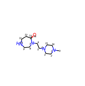 CN1CCN(CCN2CCNCCC2=O)CC1